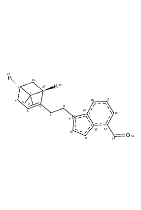 CC1(C)[C@H]2CC=C(CCn3ccc4c(C=O)cccc43)[C@H]1C2